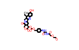 CCc1c2c(nc3ccc(O)cc13)-c1cc3c(c(=O)n1C2)COC(=O)C3OC(=O)OCc1ccc(NC(=O)CNC(=O)COCC=O)cc1